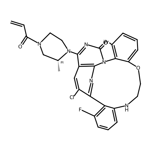 C=CC(=O)N1CCN(c2nc(=O)n3c4nc(c(Cl)cc24)-c2c(F)cccc2NCCOc2cccc(C(C)C)c2-3)[C@H](C)C1